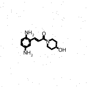 Nc1ccc(N)c(C=CC(=O)N2CCC(O)CC2)c1